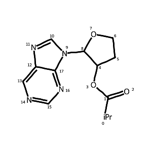 CC(C)C(=O)OC1CCOC1n1cnc2cncnc21